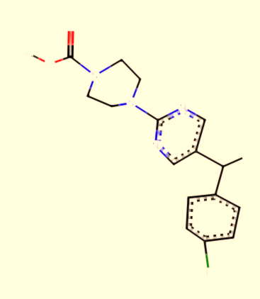 CC(c1ccc(F)cc1)c1cnc(N2CCN(C(=O)OC(C)(C)C)CC2)nc1